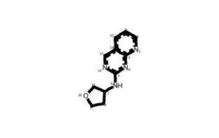 c1cnc2nc(NC3CCOC3)ncc2c1